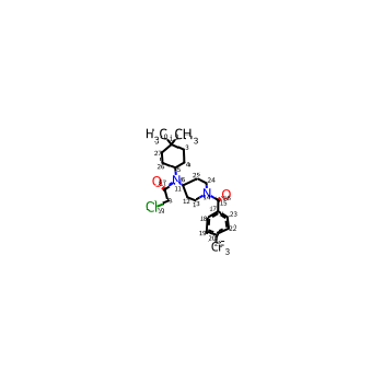 CC1(C)CCC(N(C(=O)CCl)C2CCN(C(=O)c3ccc(C(F)(F)F)cc3)CC2)CC1